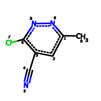 Cc1cc(C#N)c(Cl)nn1